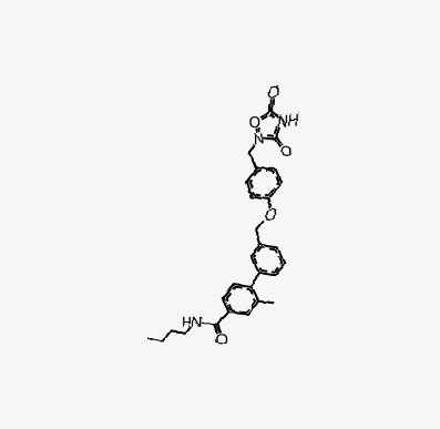 CCCCNC(=O)c1ccc(-c2cccc(COc3ccc(Cn4oc(=O)[nH]c4=O)cc3)c2)c(C)c1